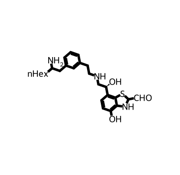 CCCCCCC(N)Cc1cccc(CCNC[C@H](O)c2ccc(O)c3c2SC(C=O)N3)c1